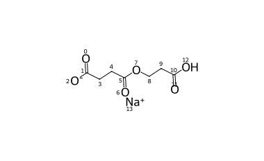 O=C([O-])CCC(=O)OCCC(=O)O.[Na+]